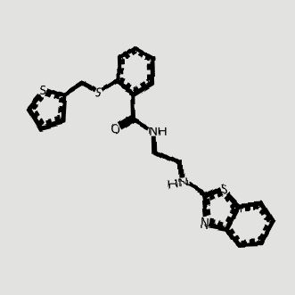 O=C(NCCNc1nc2ccccc2s1)c1ccccc1SCc1cccs1